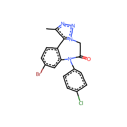 Cc1nnn2c1-c1ccc(Br)cc1N(c1ccc(Cl)cc1)C(=O)C2